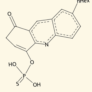 CCCCCCc1ccc2nc3c(cc2c1)C(=O)CC=C3OP(O)(O)=S